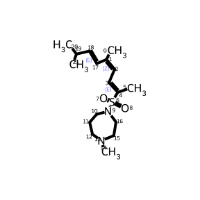 CC(=C/C=C(\C)S(=O)(=O)N1CCCN(C)CC1)/C=C/C(C)C